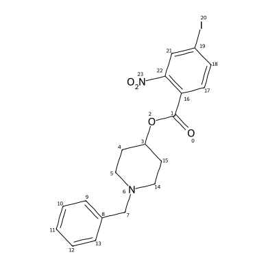 O=C(OC1CCN(Cc2ccccc2)CC1)c1ccc(I)cc1[N+](=O)[O-]